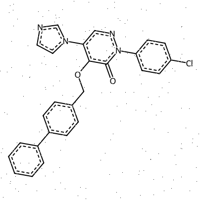 O=c1c(OCc2ccc(-c3ccccc3)cc2)c(-n2ccnc2)cnn1-c1ccc(Cl)cc1